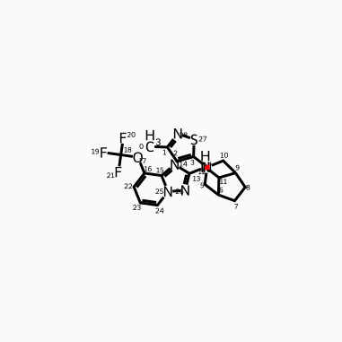 Cc1cc(N2CC3CCC(C2)C3Nc2nc3c(OC(F)(F)F)cccn3n2)sn1